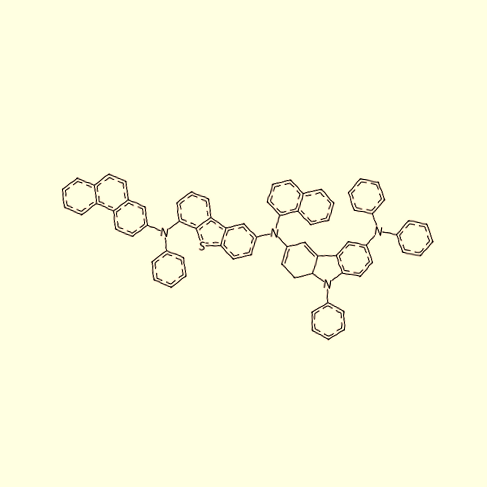 C1=C2c3cc(N(c4ccccc4)c4ccccc4)ccc3N(c3ccccc3)C2CC=C1N(c1ccc2sc3c(N(c4ccccc4)c4ccc5c(ccc6ccccc65)c4)cccc3c2c1)c1cccc2ccccc12